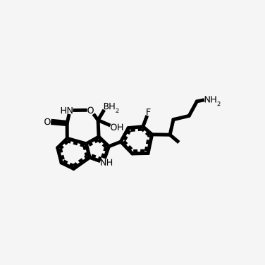 BC1(O)ONC(=O)c2cccc3[nH]c(-c4ccc(C(C)CCCN)c(F)c4)c1c23